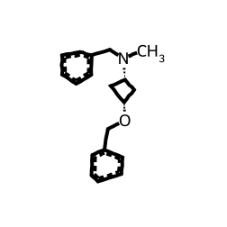 CN(Cc1ccccc1)[C@H]1C[C@@H](OCc2ccccc2)C1